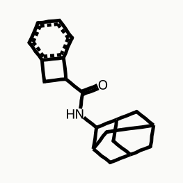 O=C(NC1C2CC3CC(C2)CC1C3)C1Cc2ccccc21